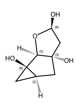 O[C@H]1C[C@@]2(O)C[C@H]3C[C@]3(O)[C@H]2O1